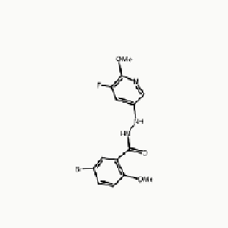 COc1ccc(Br)cc1C(=O)NNc1cnc(OC)c(F)c1